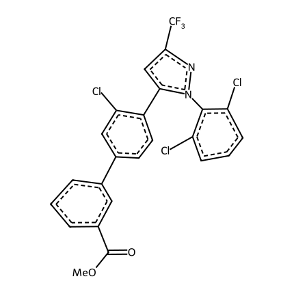 COC(=O)c1cccc(-c2ccc(-c3cc(C(F)(F)F)nn3-c3c(Cl)cccc3Cl)c(Cl)c2)c1